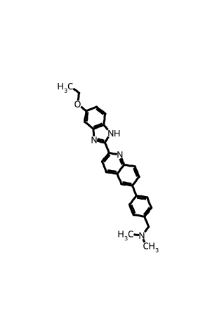 CCOc1ccc2[nH]c(-c3ccc4cc(-c5ccc(CN(C)C)cc5)ccc4n3)nc2c1